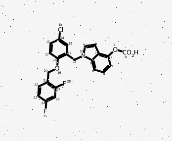 O=C(O)Oc1cccc2c1ccn2Cc1cc(Cl)ccc1OCc1ccc(F)cc1F